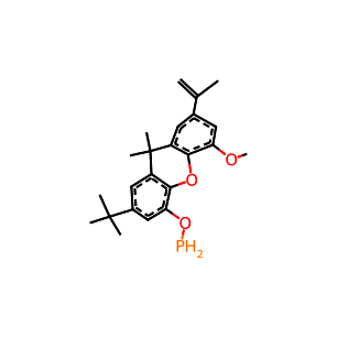 C=C(C)c1cc(OC)c2c(c1)C(C)(C)c1cc(C(C)(C)C)cc(OP)c1O2